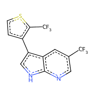 FC(F)(F)c1cnc2[nH]cc(-c3ccsc3C(F)(F)F)c2c1